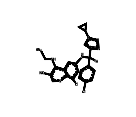 [2H]C(Nc1cc(Cl)c2ncc(C#N)c(NCC(C)(C)C)c2c1)(c1ccc(Cl)cc1)c1cn(C2CC2)nn1